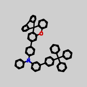 c1ccc(N(c2ccc(-c3ccc4c(c3)Oc3ccccc3C43c4ccccc4-c4ccccc43)cc2)c2cccc(-c3ccc(C(c4ccccc4)(c4ccccc4)c4ccccc4)cc3)c2)cc1